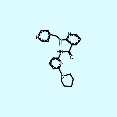 O=C(Nc1cccc(N2CCCCC2)n1)c1cccnc1NCc1ccncc1